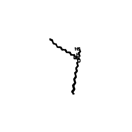 CCCCCCCCCCCCO[SiH](CCCS)OCCCCCCCCCCCC